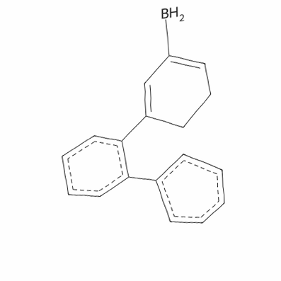 BC1=CCCC(c2ccccc2-c2ccccc2)=C1